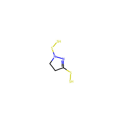 SSC1=NN(SS)CC1